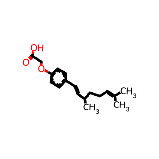 CC(C)=CCCC(C)C=Cc1ccc(OCC(=O)O)cc1